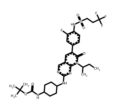 CCC(C)n1c(=O)c(-c2ccc(NS(=O)(=O)CCC(F)(F)F)c(F)c2)cc2cnc(NC3CCC(NC(=O)OC(C)(C)C)CC3)nc21